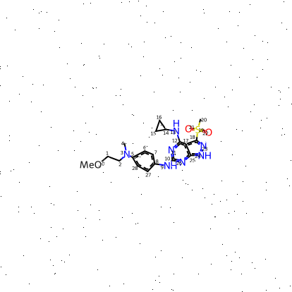 COCCN(C)c1ccc(Nc2nc(NC3CC3)c3c(S(C)(=O)=O)n[nH]c3n2)cc1